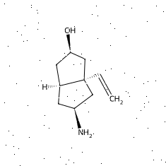 C=C[C@]12C[C@@H](N)C[C@H]1C[C@@H](O)C2